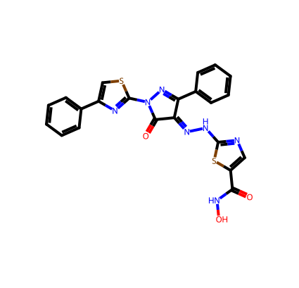 O=C(NO)c1cnc(N/N=C2/C(=O)N(c3nc(-c4ccccc4)cs3)N=C2c2ccccc2)s1